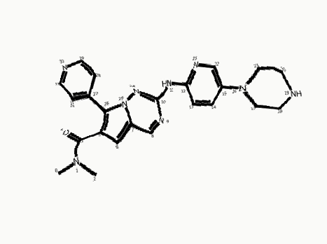 CN(C)C(=O)c1cc2cnc(Nc3ccc(N4CCNCC4)cn3)nn2c1-c1ccncc1